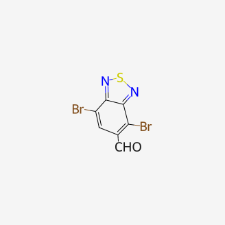 O=Cc1cc(Br)c2nsnc2c1Br